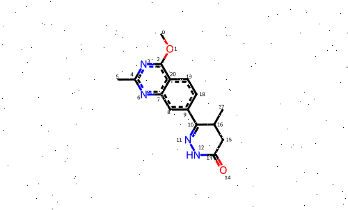 COc1nc(C)nc2cc(C3=NNC(=O)CC3C)ccc12